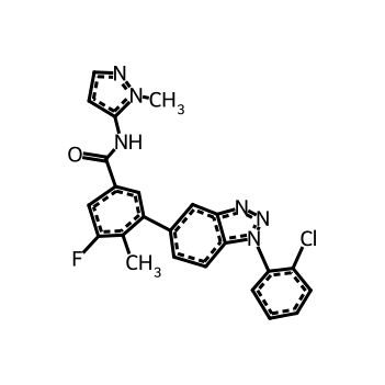 Cc1c(F)cc(C(=O)Nc2ccnn2C)cc1-c1ccc2c(c1)nnn2-c1ccccc1Cl